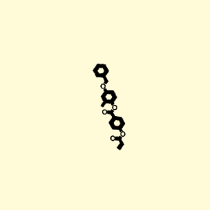 C=CC(=O)Oc1ccc(C(=O)Oc2ccc(OCc3ccccc3)cc2C)cc1